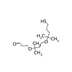 CC(C)(CCCS)OCCC(C)(C)OCCC=O